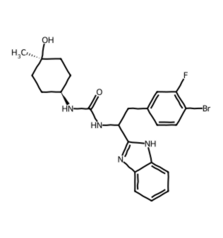 C[C@]1(O)CC[C@@H](NC(=O)NC(Cc2ccc(Br)c(F)c2)c2nc3ccccc3[nH]2)CC1